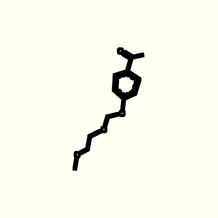 COCCOCOc1ccc(C(C)=O)cc1